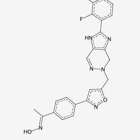 CC(=NO)c1ccc(-c2cc(CN3Cc4nc(-c5cccc(F)c5F)[nH]c4C=N3)on2)cc1